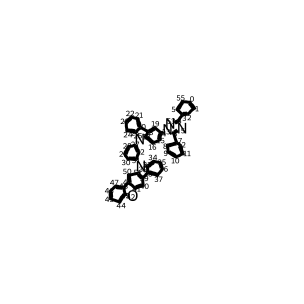 c1ccc(-c2nc(-c3ccccc3)n(-c3ccc4c(c3)c3ccccc3n4-c3cccc(-n4c5ccccc5c5cc6oc7ccccc7c6cc54)c3)n2)cc1